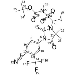 CCC(N1C(=S)N(c2ccc(C#N)c(C(F)(F)F)c2)C(=O)C1(C)C)S(=O)(=O)N(C)C(=O)OC(C)(C)C